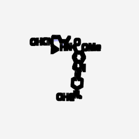 COc1cc2nn(N3CCC(N(C)C=O)CC3)cc2cc1C(=O)N/C(C)=C/C=C\N(C=O)C1CC1